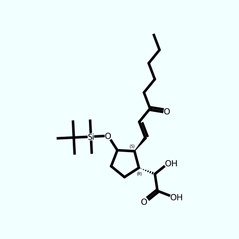 CCCCCC(=O)C=C[C@@H]1C(O[Si](C)(C)C(C)(C)C)CC[C@H]1C(O)C(=O)O